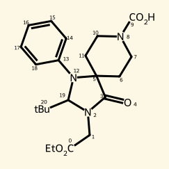 CCOC(=O)CN1C(=O)C2(CCN(C(=O)O)CC2)N(c2ccccc2)C1C(C)(C)C